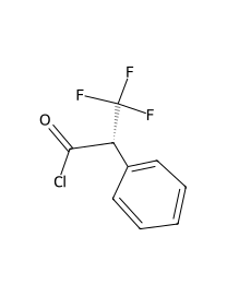 O=C(Cl)[C@@H](c1ccccc1)C(F)(F)F